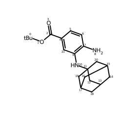 CC(C)(C)OC(=O)c1ccc(N)c(NC23CC4CC(CC(C4)C2)C3)c1